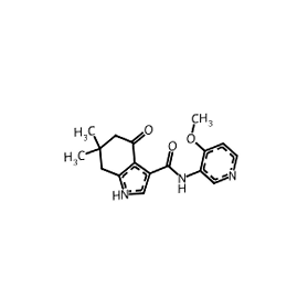 COc1ccncc1NC(=O)c1c[nH]c2c1C(=O)CC(C)(C)C2